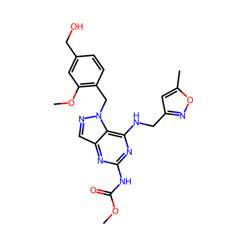 COC(=O)Nc1nc(NCc2cc(C)on2)c2c(cnn2Cc2ccc(CO)cc2OC)n1